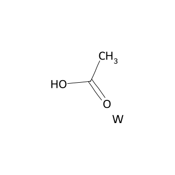 CC(=O)O.[W]